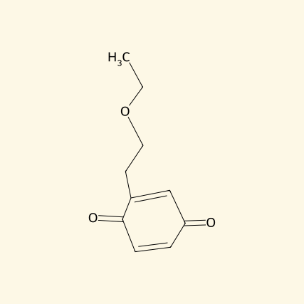 CCOCCC1=CC(=O)C=CC1=O